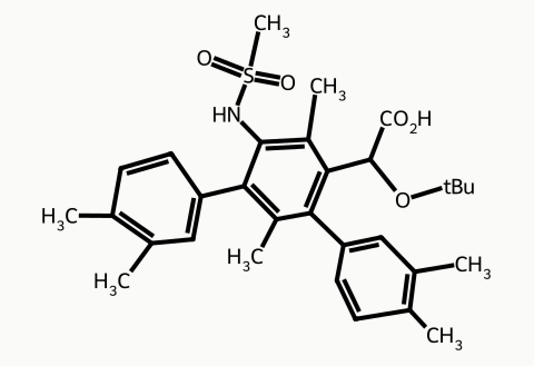 Cc1ccc(-c2c(C)c(-c3ccc(C)c(C)c3)c(C(OC(C)(C)C)C(=O)O)c(C)c2NS(C)(=O)=O)cc1C